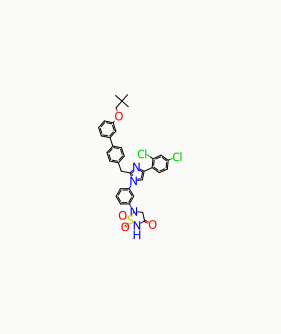 CC(C)(C)COc1cccc(-c2ccc(Cc3nc(-c4ccc(Cl)cc4Cl)cn3-c3cccc(N4CC(=O)NS4(=O)=O)c3)cc2)c1